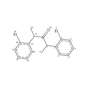 CCc1ccccc1C(C)C(=O)C(C)c1ccccc1CC